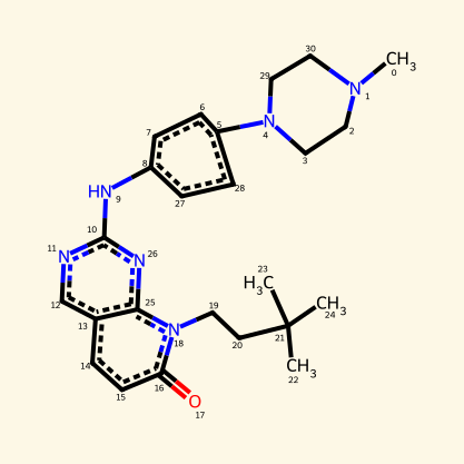 CN1CCN(c2ccc(Nc3ncc4ccc(=O)n(CCC(C)(C)C)c4n3)cc2)CC1